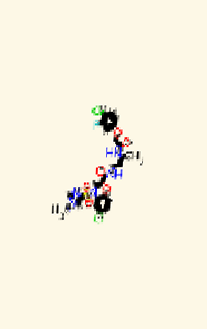 C=C(CCNC(=O)C1CN(S(=O)(=O)c2cn(C)cn2)c2cc(Cl)ccc2O1)NC(=O)COc1ccc(Cl)c(F)c1